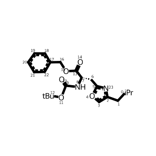 CC(C)Cc1coc(C[C@H](NC(=O)OC(C)(C)C)C(=O)OCc2ccccc2)n1